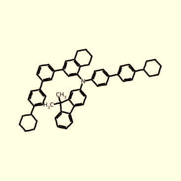 CC1(C)c2ccccc2-c2ccc(N(c3ccc(-c4ccc(C5CCCCC5)cc4)cc3)c3cc(-c4cccc(-c5ccc(C6CCCCC6)cc5)c4)cc4c3CCCC4)cc21